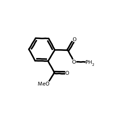 COC(=O)c1ccccc1C(=O)OP